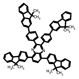 CC1(C)c2ccccc2-c2ccc(-c3ccc(-c4nc5c(-c6ccc7c(c6)C(C)(C)c6ccccc6-7)ccc(-c6ccc7c(c6)C(C)(C)c6ccccc6-7)c5nc4-c4ccc(-c5ccc6c(c5)C(C)(C)c5ccccc5-6)cc4)cc3)cc21